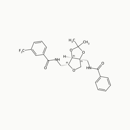 CC1(C)O[C@@H]2[C@@H](CNC(=O)c3cccc(C(F)(F)F)c3)OC[C@]2(CNC(=O)c2ccccc2)O1